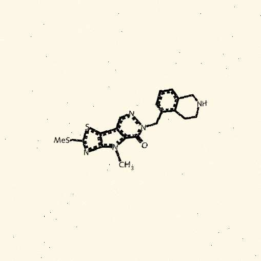 CSc1nc2c(s1)c1cnn(Cc3cccc4c3CCNC4)c(=O)c1n2C